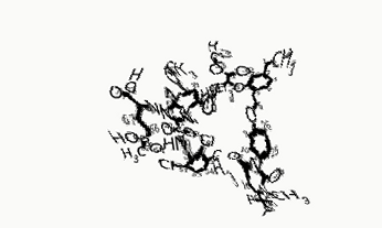 CCc1ccc(COc2ccc(-n3c(=O)cc(C(F)(F)F)n(C)c3=O)cc2)c(OC(C)C(=O)OC)c1.COc1cc(OC)n2nc(S(=O)(=O)Nc3c(Cl)ccc(C)c3Cl)nc2n1.CP(=O)(O)CCC(N)C(=O)O